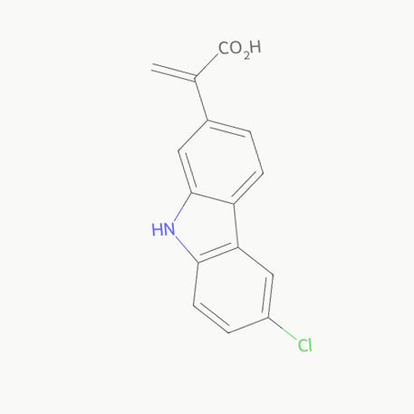 C=C(C(=O)O)c1ccc2c(c1)[nH]c1ccc(Cl)cc12